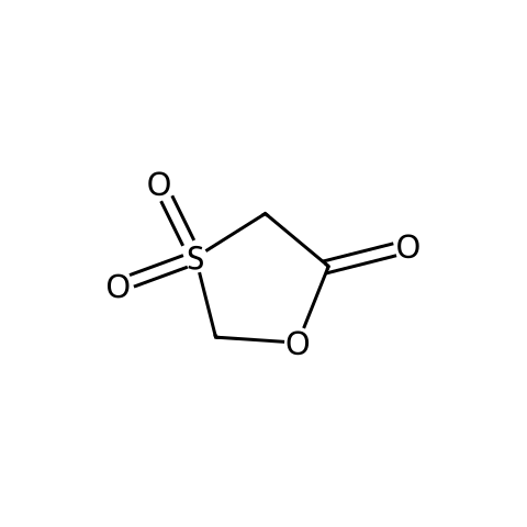 O=C1CS(=O)(=O)CO1